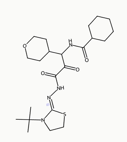 CC(C)(C)N1CCS/C1=N\NC(=O)C(=O)C(NC(=O)C1CCCCC1)C1CCOCC1